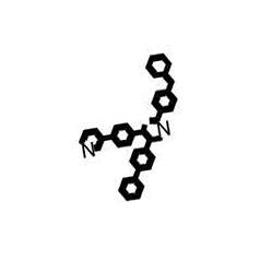 C=C(/N=C\C(=C(/C)c1ccc(-c2cccnc2)cc1)c1ccc(-c2ccccc2)cc1)c1ccc(/C=C2\C=CC=CC2)cc1